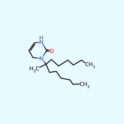 CCCCCCC(C)(CCCCCC)N1CC=CNC1=O